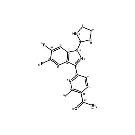 Cc1nc(-c2nn(C3NCCO3)c3cc(F)c(F)cc23)ccc1C(N)=O